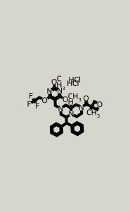 COc1nc(OC)c(CN2CC(C(c3ccccc3)c3ccccc3)N3CCN(C(=O)C4(C)COC4)C[C@H]3C2)c(OCC(F)(F)F)n1.Cl.Cl